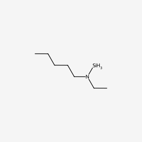 CCCCCN([SiH3])CC